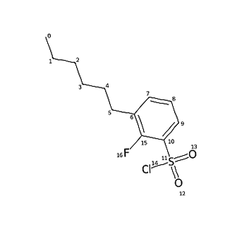 CCCCCCc1cccc(S(=O)(=O)Cl)c1F